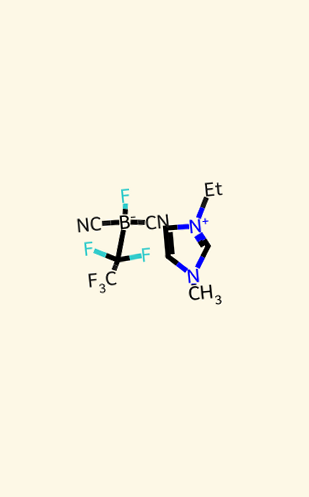 CC[n+]1ccn(C)c1.N#C[B-](F)(C#N)C(F)(F)C(F)(F)F